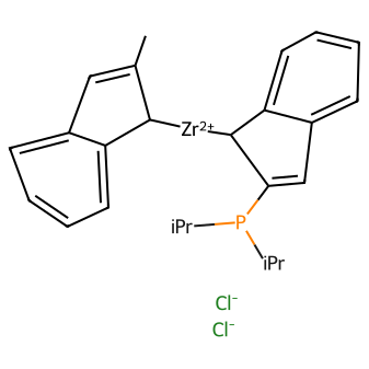 CC1=Cc2ccccc2[CH]1[Zr+2][CH]1C(P(C(C)C)C(C)C)=Cc2ccccc21.[Cl-].[Cl-]